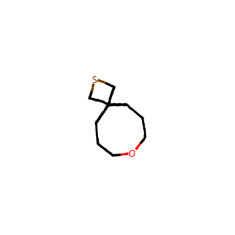 C1COCCCC2(C1)CSC2